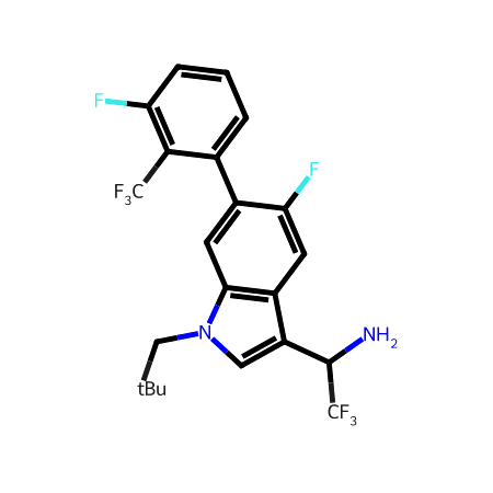 CC(C)(C)Cn1cc(C(N)C(F)(F)F)c2cc(F)c(-c3cccc(F)c3C(F)(F)F)cc21